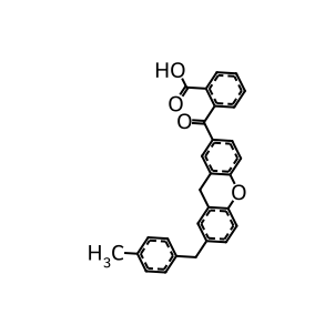 Cc1ccc(Cc2ccc3c(c2)Cc2cc(C(=O)c4ccccc4C(=O)O)ccc2O3)cc1